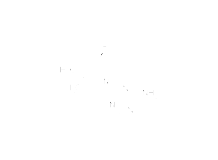 CC1(C)C[C@@H](F)CN(c2ncnc(N)n2)C1